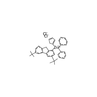 CC(C)(C)c1ccc2c(c1)-c1cc(C(C)(C)C)c[c]([Zr+2]([C]3=CC=CC3)=[C](c3ccccc3)c3ccccc3)c1C2.[Cl-].[Cl-]